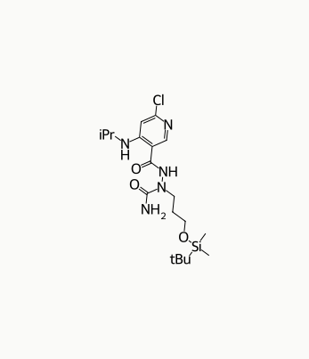 CC(C)Nc1cc(Cl)ncc1C(=O)NN(CCCO[Si](C)(C)C(C)(C)C)C(N)=O